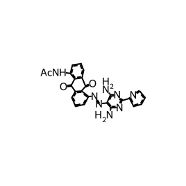 CC(=O)Nc1cccc2c1C(=O)c1cccc(/N=N/c3c(N)nc(-c4ccccn4)nc3N)c1C2=O